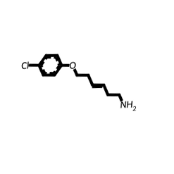 NCCC=CCCOc1ccc(Cl)cc1